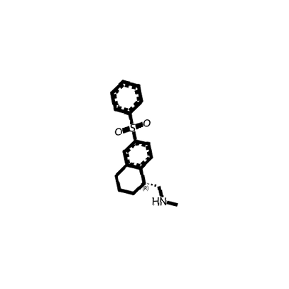 CNC[C@@H]1CCCc2cc(S(=O)(=O)c3ccccc3)ccc21